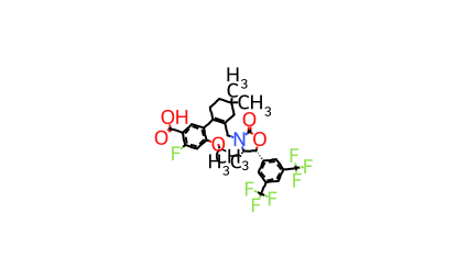 COc1cc(F)c(C(=O)O)cc1C1=C(CN2C(=O)O[C@H](c3cc(C(F)(F)F)cc(C(F)(F)F)c3)[C@@H]2C)CC(C)(C)CC1